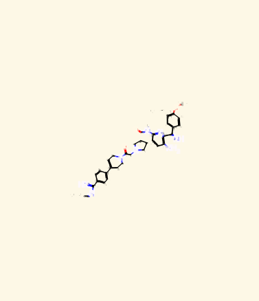 CCN(C(=O)[C@@H]1CCN(CC(=O)N2CC=C(c3ccc(C(=N)/N=C\NC)cc3)CC2)C1)c1ccc(N)c(C(=N)c2ccc(OC(C)C)c(OC)c2)n1